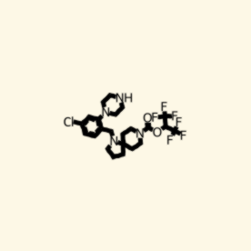 O=C(OC(C(F)(F)F)C(F)(F)F)N1CCC2(CCCN2Cc2ccc(Cl)cc2N2CCNCC2)CC1